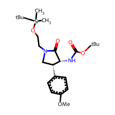 COc1ccc([C@@H]2CN(CCO[Si](C)(C)C(C)(C)C)C(=O)[C@@H]2NC(=O)OC(C)(C)C)cc1